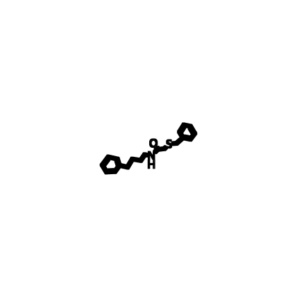 O=C(CSCc1ccccc1)NCCCCc1ccccc1